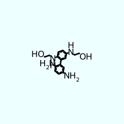 Nc1ccc(N)c(-c2cc(NCCO)ccc2NCCO)c1